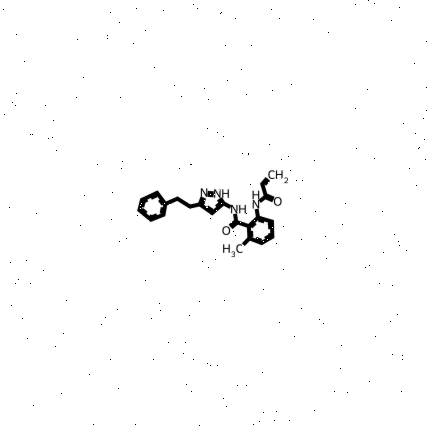 C=CC(=O)Nc1cccc(C)c1C(=O)Nc1cc(CCc2ccccc2)n[nH]1